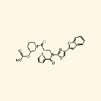 O=C(O)OC1CCCN(C(=O)CCN(C(=O)c2cccs2)c2nc(-c3cc4ccccc4o3)cs2)C1